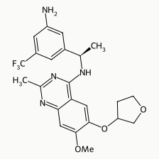 COc1cc2nc(C)nc(N[C@H](C)c3cc(N)cc(C(F)(F)F)c3)c2cc1OC1CCOC1